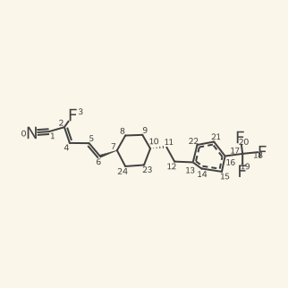 N#CC(F)=CC=C[C@H]1CC[C@H](CCc2ccc(C(F)(F)F)cc2)CC1